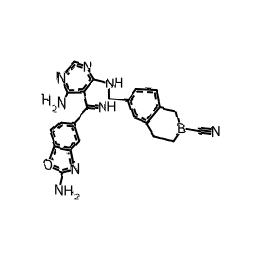 N#CB1CCc2cc(CNc3ncnc(N)c3C(=N)c3ccc4oc(N)nc4c3)ccc2C1